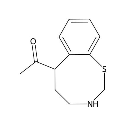 CC(=O)C1CCNCSc2ccccc21